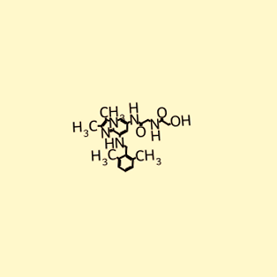 Cc1cccc(C)c1CNc1cc(NC(=O)CNC(=O)CO)cn2c(C)c(C)nc12